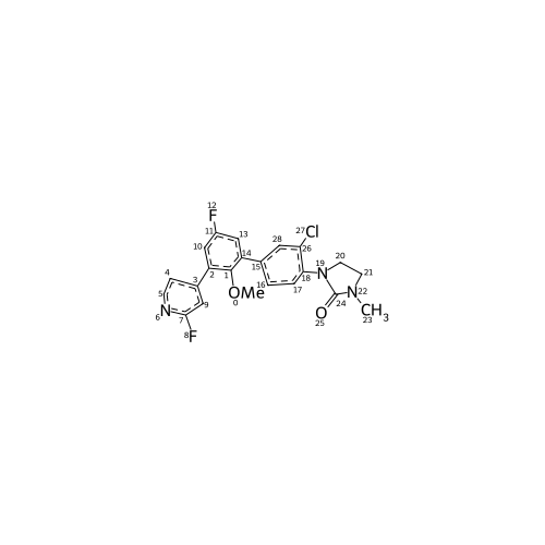 COc1c(-c2ccnc(F)c2)cc(F)cc1-c1ccc(N2CCN(C)C2=O)c(Cl)c1